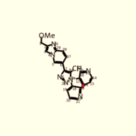 COCc1cn2cc(C3=C(C)[N+](c4cccnc4F)(c4cccnc4F)N=N3)ccc2n1